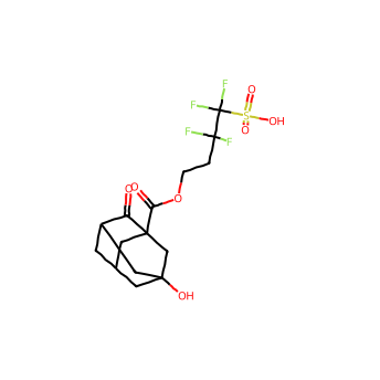 O=C(OCCC(F)(F)C(F)(F)S(=O)(=O)O)C12CC3CC(CC(O)(C3)C1)C2=O